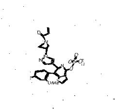 C=CC(=O)N1CC(n2cc(-c3nc(OS(=O)(=O)C(F)(F)F)c4ccsc4c3-c3ccc(F)cc3OC)cn2)C1